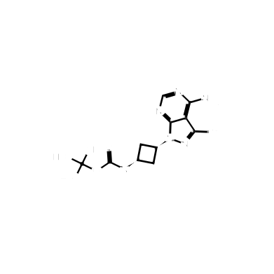 CC(C)(C)OC(=O)N[C@H]1C[C@@H](n2nc(Br)c3c(N)ncnc32)C1